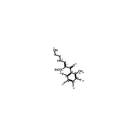 CCOC(=O)/C(=C\NCCO)C(=O)c1c(C)c(F)c(F)c(F)c1F